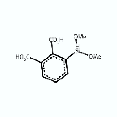 CO[SiH](OC)c1cccc(C(=O)O)c1C(=O)O